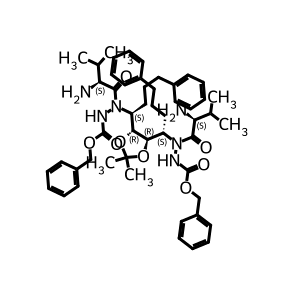 CC(C)[C@H](N)C(=O)N(NC(=O)OCc1ccccc1)[C@@H](CCCc1ccccc1)[C@H]1OC(C)(C)O[C@@H]1[C@H](CCCc1ccccc1)N(NC(=O)OCc1ccccc1)C(=O)[C@@H](N)C(C)C